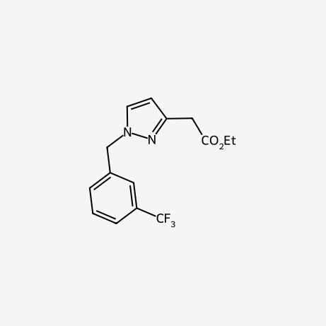 CCOC(=O)Cc1ccn(Cc2cccc(C(F)(F)F)c2)n1